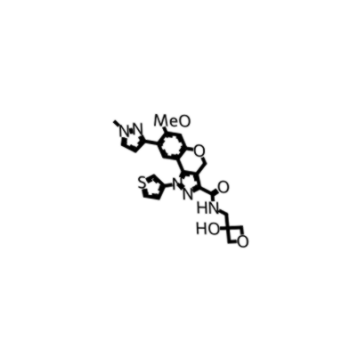 COc1cc2c(cc1-c1ccn(C)n1)-c1c(c(C(=O)NCC3(O)COC3)nn1-c1ccsc1)CO2